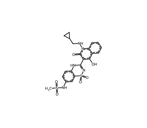 CS(=O)(=O)Nc1ccc2c(c1)S(=O)(=O)N=C(c1c(O)c3ccccc3n(NCC3CC3)c1=O)N2